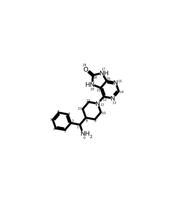 NC(c1ccccc1)C1CCN(c2ncnc3[nH]c(=O)[nH]c23)CC1